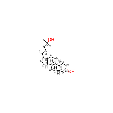 C[C@H](CCC(C)(C)O)[C@H]1CC[C@H]2[C@@H]3CC[C@@H]4C[C@@H](O)CC[C@@H]4[C@H]3CC[C@]12C